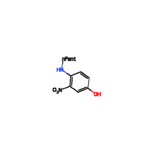 CCCCCNc1ccc(O)cc1[N+](=O)[O-]